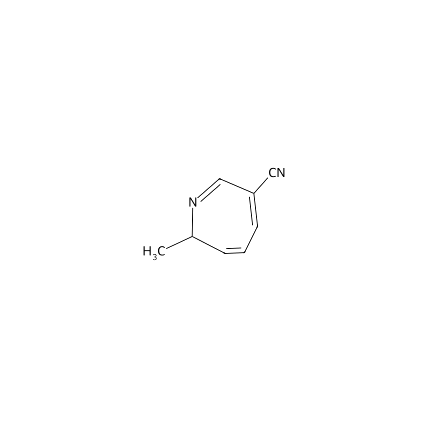 CC1C=CC=C(C#N)C=N1